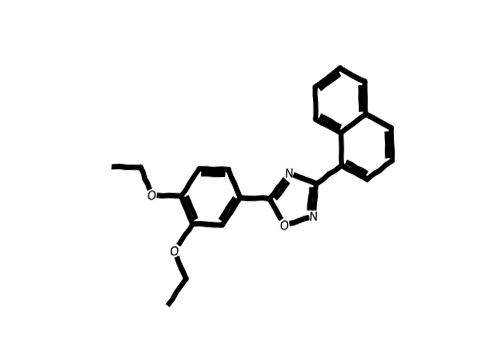 CCOc1ccc(-c2nc(-c3cccc4ccccc34)no2)cc1OCC